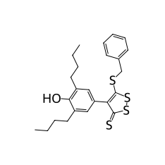 CCCCc1cc(-c2c(SCc3ccccc3)ssc2=S)cc(CCCC)c1O